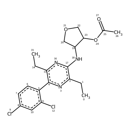 CCc1nc(-c2ccc(Cl)cc2Cl)c(CC)nc1NC1COCC1OC(C)=O